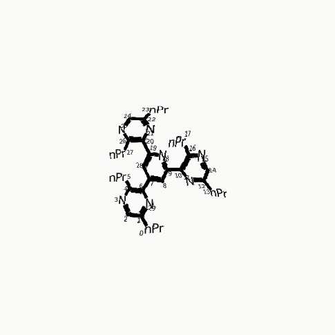 CCCc1cnc(CCC)c(-c2cc(-c3nc(CCC)cnc3CCC)nc(-c3nc(CCC)cnc3CCC)c2)n1